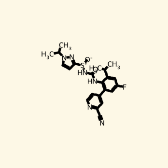 CC(C)c1cc(F)cc(-c2ccnc(C#N)c2)c1NC(=O)N[S+]([O-])c1ccn(C(C)C)n1